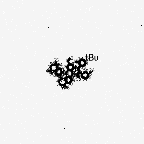 C=Cc1cc2c3c(c1)N(c1ccc(C(C)(C)C)cc1C)c1c(sc4ccc(C)cc14)B3c1ccc3c4c1N2c1cc2c(cc1C4(C)CCC3(C)C)C(C)(C)CCC2(C)C